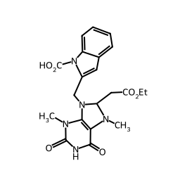 CCOC(=O)CC1N(C)c2c(n(C)c(=O)[nH]c2=O)N1Cc1cc2ccccc2n1C(=O)O